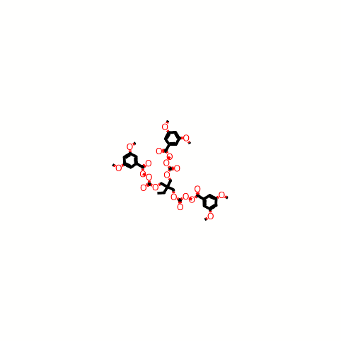 CCC(COC(=O)OOC(=O)c1cc(OC)cc(OC)c1)(COC(=O)OOC(=O)c1cc(OC)cc(OC)c1)COC(=O)OOC(=O)c1cc(OC)cc(OC)c1